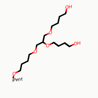 CCCC(C)OCCCCOCC(COCCCCO)OCCCCO